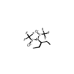 CCC(CC)N([S+]([O-])C(F)(F)F)[S+]([O-])C(F)(F)F